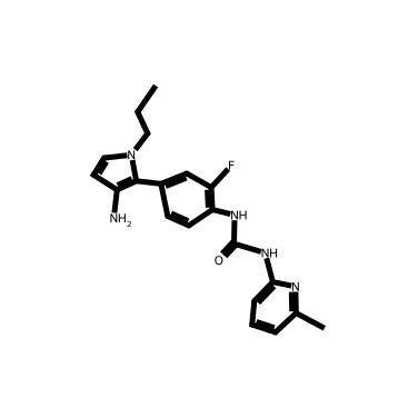 CCCn1ccc(N)c1-c1ccc(NC(=O)Nc2cccc(C)n2)c(F)c1